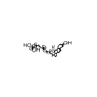 CC(CCC(=O)OCOC(=O)CCC(CP(=O)(O)O)C(=O)O)C1CCC2C3CCC4C[C@H](O)CC[C@]4(C)C3C[C@H](O)[C@]12C